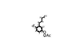 CC(=O)OOc1ccc(F)c(CCCI)c1